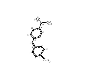 C=c1ccc(=Cc2ccc(N(C)C)cc2)cc1